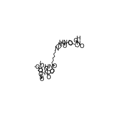 CCOc1cc([C@@H](CS(C)(=O)=O)N2C(=O)c3cccc(NC(=O)CCCCCCCN4CCN(CC(=O)Nc5ccc(C6CCC(=O)NC6=O)cc5)CC4)c3C2=O)ccc1OC